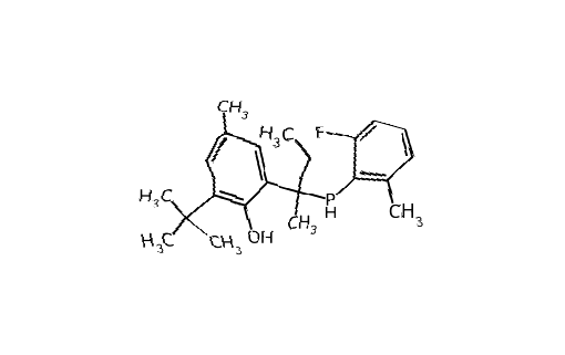 CCC(C)(Pc1c(C)cccc1F)c1cc(C)cc(C(C)(C)C)c1O